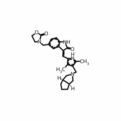 Cc1[nH]c(/C=C2\C(=O)Nc3ccc(CN4CCOC4=O)cc32)c(C)c1CN1C[C@H]2CCC[C@H]2C1